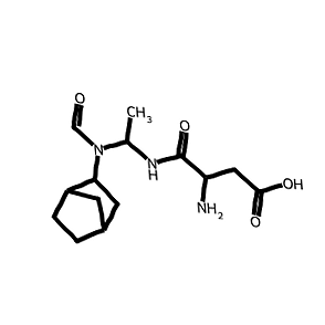 CC(NC(=O)C(N)CC(=O)O)N(C=O)C1CC2CCC1C2